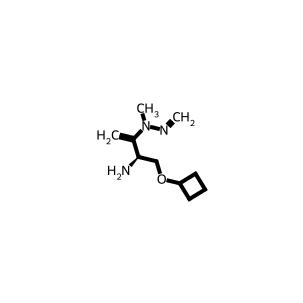 C=NN(C)C(=C)[C@H](N)COC1CCC1